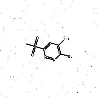 CCc1nnc(S(C)(=O)=O)cc1O